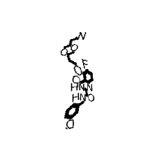 COc1cccc(CNC(=O)c2nc3ccc(F)c(OCCC4COC(CC#N)CO4)c3c(=O)[nH]2)c1